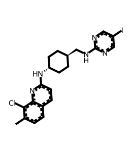 Cc1ccc2ccc(N[C@H]3CC[C@H](CNc4ncc(I)cn4)CC3)nc2c1Cl